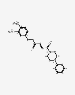 COc1ccc(/C=C/C(=O)/C=C/C(=O)N2CCN(c3ccccc3)CC2)cc1OC